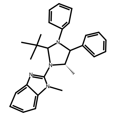 C[C@H]1C(c2ccccc2)N(c2ccccc2)C(C(C)(C)C)N1c1nc2ccccc2n1C